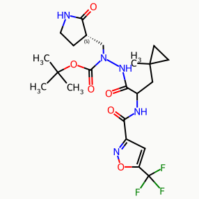 CC1(CC(NC(=O)c2cc(C(F)(F)F)on2)C(=O)NN(C[C@@H]2CCNC2=O)C(=O)OC(C)(C)C)CC1